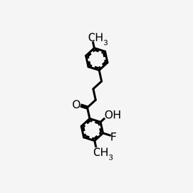 Cc1ccc(CCCC(=O)c2ccc(C)c(F)c2O)cc1